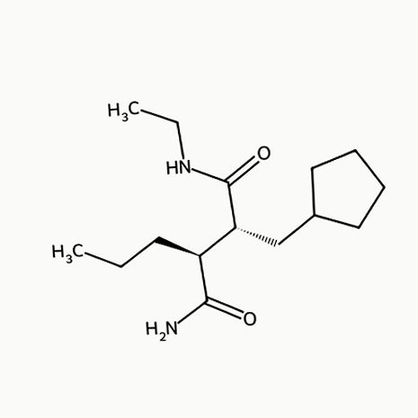 CCC[C@H](C(N)=O)[C@@H](CC1CCCC1)C(=O)NCC